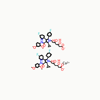 COc1ccc(NC(=O)c2c(-c3ccc(F)cc3)c(-c3ccc(F)cc3)n(CC[C@@H](O)CC(O)CC(=O)[O-])c2C2CC2)c(OC)c1.COc1ccc(NC(=O)c2c(-c3ccc(F)cc3)c(-c3ccc(F)cc3)n(CC[C@@H](O)C[C@@H](O)CC(=O)[O-])c2C2CC2)c(OC)c1.[Ca+2]